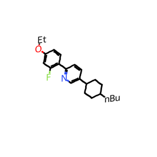 CCCCC1CCC(c2ccc(-c3ccc(OCC)cc3F)nc2)CC1